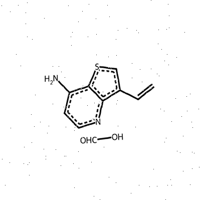 C=Cc1csc2c(N)ccnc12.O=CO